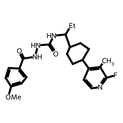 CCC(NC(=O)NNC(=O)c1ccc(OC)cc1)C1CCC(c2ccnc(F)c2C)CC1